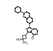 CC1(O)CC(c2nc(-c3ccc4ccc(-c5ccccc5)nc4c3)n3ccnc(Cl)c23)C1